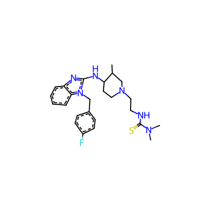 CC1CN(CCNC(=S)N(C)C)CCC1Nc1nc2ccccc2n1Cc1ccc(F)cc1